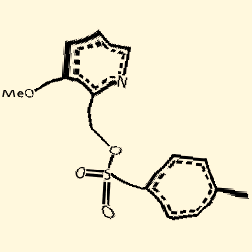 COc1cccnc1COS(=O)(=O)c1ccc(C)cc1